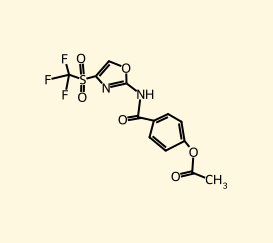 CC(=O)Oc1ccc(C(=O)Nc2nc(S(=O)(=O)C(F)(F)F)co2)cc1